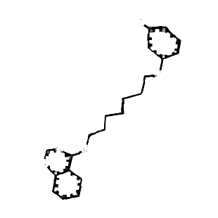 Cc1cccc(OCCCCCCCNc2ncnc3ccccc23)c1